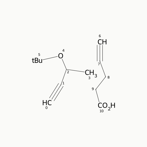 C#CC(C)OC(C)(C)C.C#CCCC(=O)O